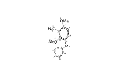 COc1ccc(Oc2ccccc2)c(OC)c1C